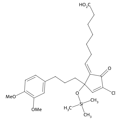 COc1ccc(CCCC2(O[Si](C)(C)C)C=C(Cl)C(=O)C2=CCCCCCC(=O)O)cc1OC